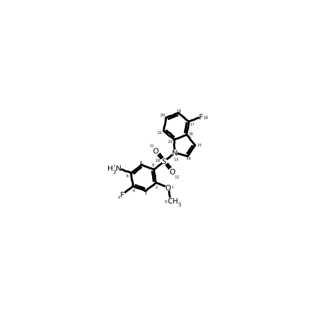 COc1cc(F)c(N)cc1S(=O)(=O)n1ccc2c(F)cccc21